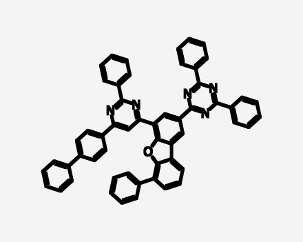 c1ccc(-c2ccc(-c3cc(-c4cc(-c5nc(-c6ccccc6)nc(-c6ccccc6)n5)cc5c4oc4c(-c6ccccc6)cccc45)nc(-c4ccccc4)n3)cc2)cc1